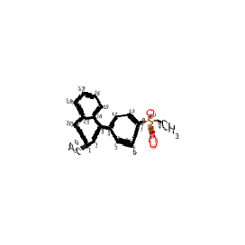 CC(=O)c1cc(-c2ccc(S(C)(=O)=O)cc2)c2ccccc2c1